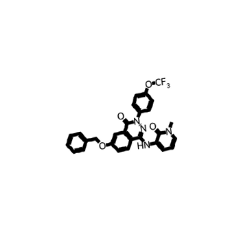 Cn1cccc(Nc2nn(-c3ccc(OC(F)(F)F)cc3)c(=O)c3cc(OCc4ccccc4)ccc23)c1=O